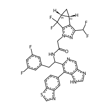 O=C(Cn1nc(C(F)F)c2c1C(F)(F)[C@@H]1C[C@H]21)NC(Cc1cc(F)cc(F)c1)c1ncc2nc[nH]c2c1-c1ccc2scnc2c1